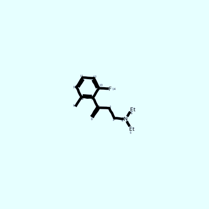 C=C(CCN(CC)CC)c1c(C)cccc1F